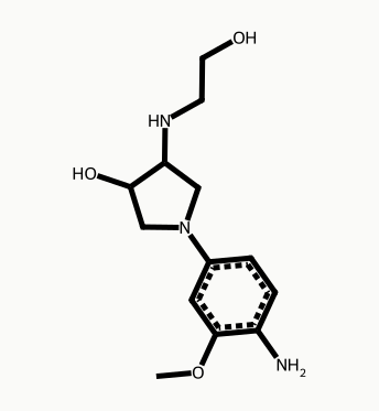 COc1cc(N2CC(O)C(NCCO)C2)ccc1N